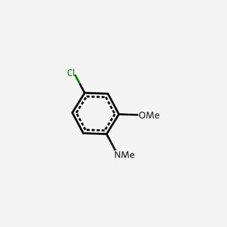 CNc1ccc(Cl)cc1OC